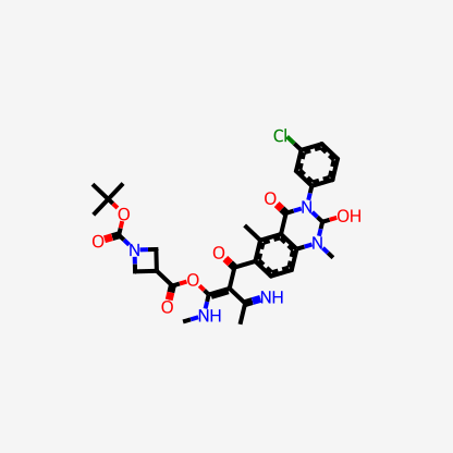 CN/C(OC(=O)C1CN(C(=O)OC(C)(C)C)C1)=C(\C(C)=N)C(=O)c1ccc2c(c1C)C(=O)N(c1cccc(Cl)c1)C(O)N2C